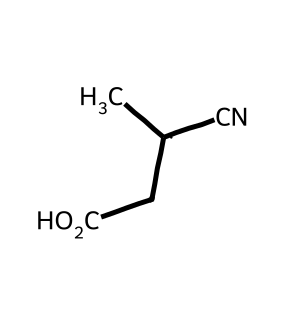 C[C](C#N)CC(=O)O